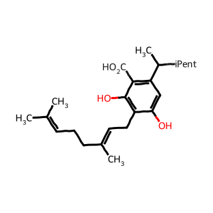 CCCC(C)C(C)c1cc(O)c(C/C=C(\C)CCC=C(C)C)c(O)c1C(=O)O